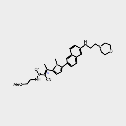 COCCN[S+]([O-])/C(C#N)=C(\C)c1ccc(-c2ccc3cc(NCCN4CCOCC4)ccc3c2)n1C